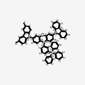 Cc1ccc2c(c1)c1cc(C)ccc1n2-c1ccc2c(c1)Oc1cc(-n3c4ccccc4c4ccccc43)ccc1N2c1cccc([Si](c2ccccc2)(c2ccccc2)c2ccccc2)c1